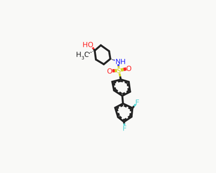 C[C@]1(O)CC[C@H](NS(=O)(=O)c2ccc(-c3ccc(F)cc3F)cc2)CC1